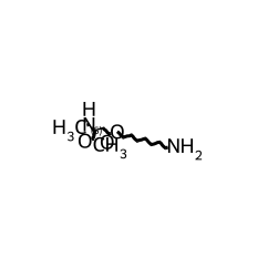 CN[C@@H](CC(=O)OCCCCCCCN)C(C)=O